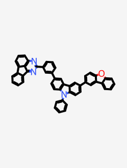 c1ccc(-n2c3ccc(-c4cccc(-c5nc6c7c(cccc7n5)-c5ccccc5-6)c4)cc3c3cc(-c4ccc5oc6ccccc6c5c4)ccc32)cc1